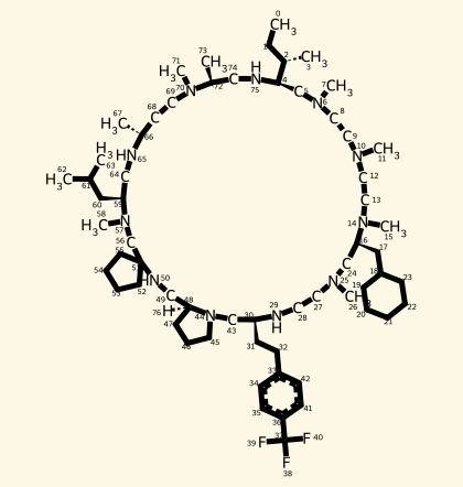 CC[C@H](C)[C@H]1CN(C)CCN(C)CCN(C)[C@@H](CC2CCCCC2)CN(C)CCN[C@@H](CCc2ccc(C(F)(F)F)cc2)CN2CCC[C@H]2CNC2(CCCC2)CN(C)[C@@H](CC(C)C)CN[C@H](C)CCN(C)[C@@H](C)CN1